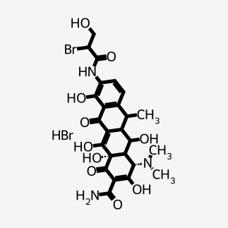 Br.CC1c2ccc(NC(=O)C(Br)CO)c(O)c2C(=O)C2=C(O)[C@]3(O)C(=O)C(C(N)=O)=C(O)[C@@H](N(C)C)C3C(O)C21